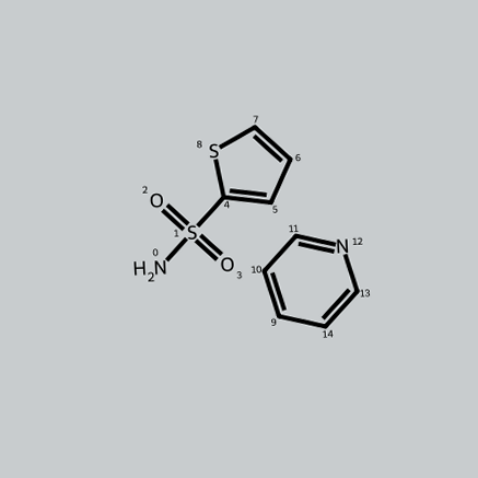 NS(=O)(=O)c1cccs1.c1ccncc1